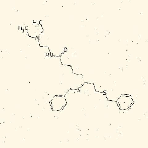 CCN(CC)CCNC(=O)CCCC[C@H](CCSCc1ccccc1)SCc1ccccc1